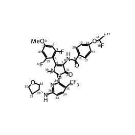 COc1cc(F)c(-c2c(NC(=O)c3ccc(OC(F)F)cc3)c(=O)n(-c3nc(N[C@@H]4CCOC4)ccc3C(F)(F)F)n2C)c(F)c1